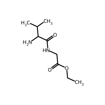 CCOC(=O)CNC(=O)C(N)C(C)C